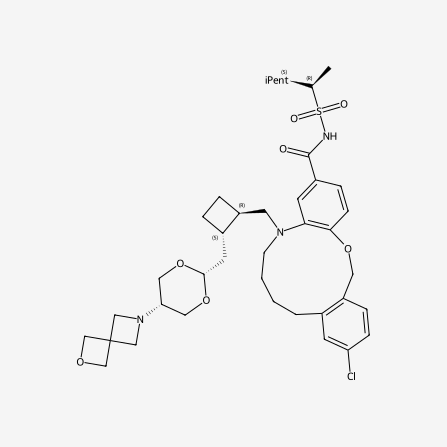 CCC[C@H](C)[C@@H](C)S(=O)(=O)NC(=O)c1ccc2c(c1)N(C[C@@H]1CC[C@H]1C[C@H]1OC[C@@H](N3CC4(COC4)C3)CO1)CCCCc1cc(Cl)ccc1CO2